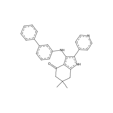 CC1(C)CC(=O)c2c([nH]c(-c3ccncc3)c2Nc2cccc(-c3ccccc3)c2)C1